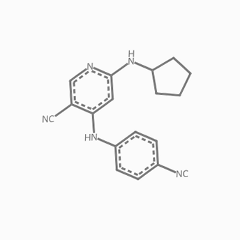 [C-]#[N+]c1ccc(Nc2cc(NC3CCCC3)ncc2C#N)cc1